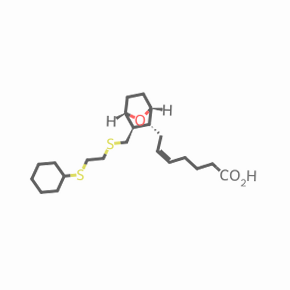 O=C(O)CCC/C=C\C[C@@H]1[C@@H](CSCCSC2CCCCC2)[C@@H]2CC[C@H]1O2